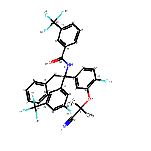 CC(C)(C#N)Oc1cc([C@@](Cc2ccccc2)(NC(=O)c2cccc(C(F)(F)F)c2)c2cc(F)cc(C(F)(F)F)c2)ccc1F